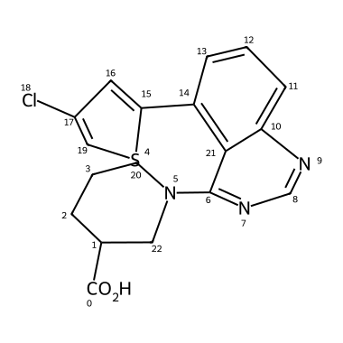 O=C(O)C1CCCN(c2ncnc3cccc(-c4cc(Cl)cs4)c23)C1